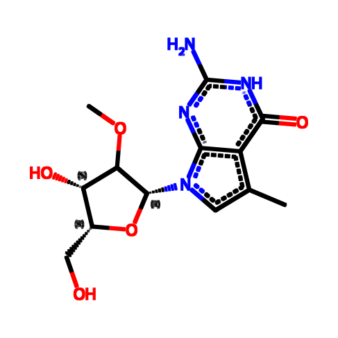 COC1[C@@H](O)[C@@H](CO)O[C@H]1n1cc(C)c2c(=O)[nH]c(N)nc21